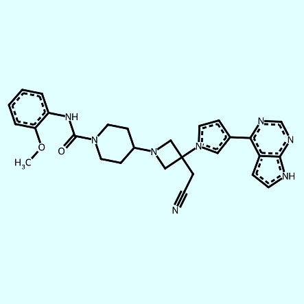 COc1ccccc1NC(=O)N1CCC(N2CC(CC#N)(n3ccc(-c4ncnc5[nH]ccc45)c3)C2)CC1